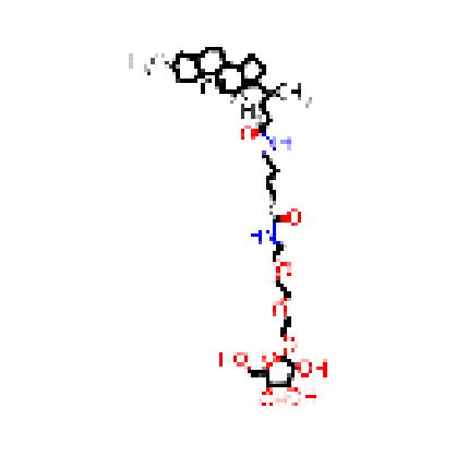 CC(CCC(=O)NCCCCCC(=O)NCCOCCOCCOC1OC(CO)C(O)C(O)C1O)C1CCC2C3CCC4C[C@H](C)CC[C@]4(C)C3CC[C@]12C